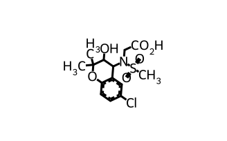 CC1(C)Oc2ccc(Cl)cc2C(N(CC(=O)O)S(C)(=O)=O)C1O